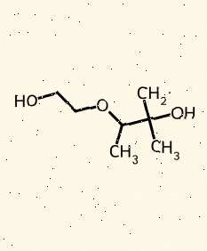 [CH2]C(C)(O)C(C)OCCO